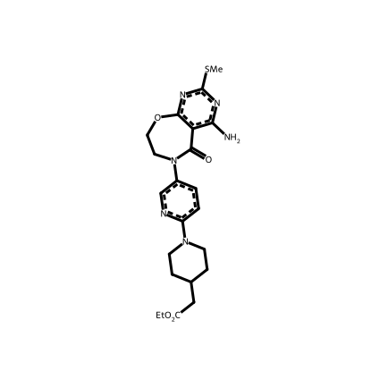 CCOC(=O)CC1CCN(c2ccc(N3CCOc4nc(SC)nc(N)c4C3=O)cn2)CC1